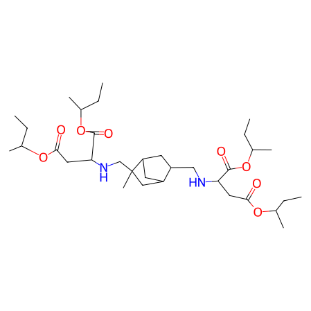 CCC(C)OC(=O)CC(NCC1CC2CC1CC2(C)CNC(CC(=O)OC(C)CC)C(=O)OC(C)CC)C(=O)OC(C)CC